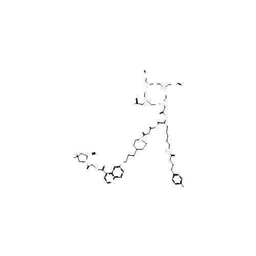 C#C[C@H]1CC(F)(F)CN1C(=O)CNC(=O)c1ccnc2ccc(OCCCC3CCN(C(=O)CC(=O)NC(=O)[C@H](CCCCCNC(=O)CCCc4ccc(I)cc4)NC(=O)CN4CCN(COC=O)CCN(COC=O)CCN(CC(=O)O)CC4)CC3)cc12